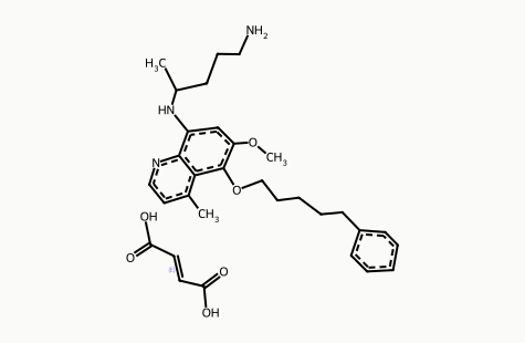 COc1cc(NC(C)CCCN)c2nccc(C)c2c1OCCCCCc1ccccc1.O=C(O)/C=C/C(=O)O